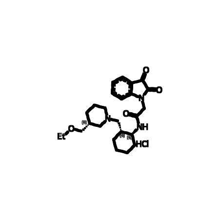 CCOC[C@@H]1CCCN(C[C@H]2CCCC[C@@H]2NC(=O)CN2C(=O)C(=O)c3ccccc32)C1.Cl